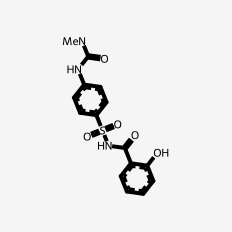 CNC(=O)Nc1ccc(S(=O)(=O)NC(=O)c2ccccc2O)cc1